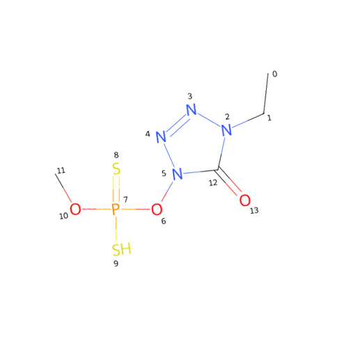 CCn1nnn(OP(=S)(S)OC)c1=O